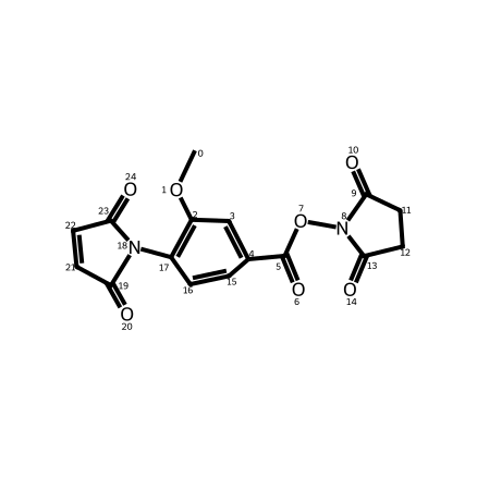 COc1cc(C(=O)ON2C(=O)CCC2=O)ccc1N1C(=O)C=CC1=O